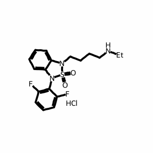 CCNCCCCN1c2ccccc2N(c2c(F)cccc2F)S1(=O)=O.Cl